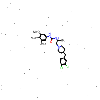 COc1cc(NC(=O)NC(CN2CCC(Cc3ccc(Cl)c(Cl)c3)CC2)C(C)(C)C)cc(OC)c1OC